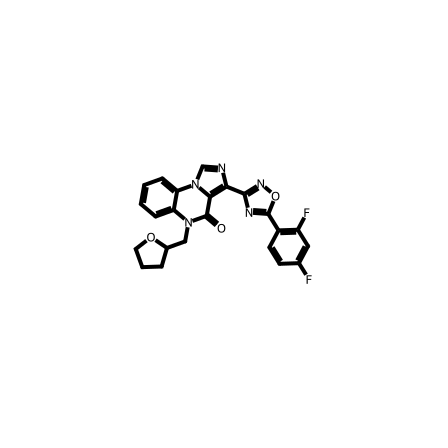 O=c1c2c(-c3noc(-c4ccc(F)cc4F)n3)ncn2c2ccccc2n1CC1CCCO1